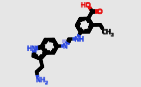 CCc1cc(N/C=N/c2ccc3[nH]cc(CCN)c3c2)ccc1C(=O)O